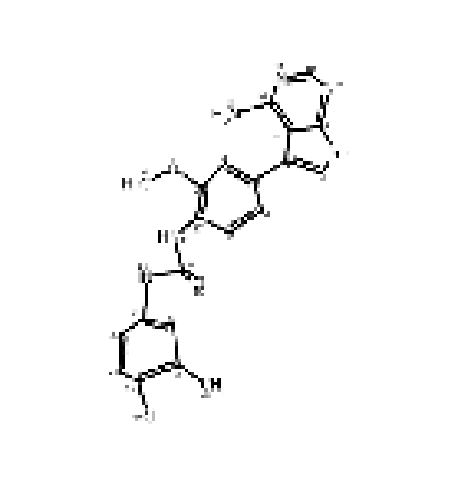 COc1cc(-c2csc3ncnc(N)c23)ccc1NC(=O)Nc1ccc(Cl)c(C)c1